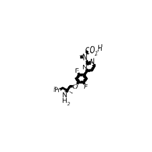 CC(C)C[C@](C)(N)COc1cc(F)c(-c2ccnc(N(C)C(=O)O)n2)cc1F